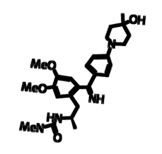 CNC(=O)N[C@H](C)Cc1cc(OC)c(OC)cc1C(=N)c1ccc(N2CCC(C)(O)CC2)cc1